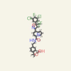 CC1(C)OB(O)c2cc(CCNC(=O)c3ccc(C4=NOC(c5cc(Cl)c(F)c(Cl)c5)(C(F)(F)F)C4)c4cccn34)ccc21